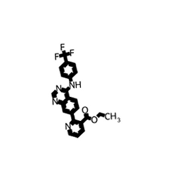 CCOC(=O)c1cccnc1-c1ccc2c(Nc3ccc(C(F)(F)F)cc3)ncnc2c1